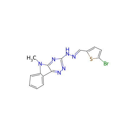 Cn1c2ccccc2c2nnc(NN=Cc3ccc(Br)s3)nc21